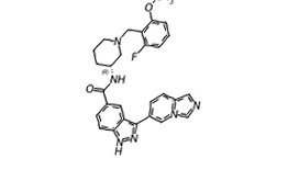 COc1cccc(F)c1CN1CCC[C@@H](NC(=O)c2ccc3[nH]nc(-c4ccc5cncn5c4)c3c2)C1